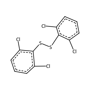 Clc1cccc(Cl)c1SSc1c(Cl)cccc1Cl